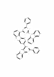 c1ccc(-c2nc(-c3cccc4oc5cc(-c6nc(-c7ccccc7)nc7c6sc6ccccc67)ccc5c34)nc(-n3c4ccccc4c4ccccc43)n2)cc1